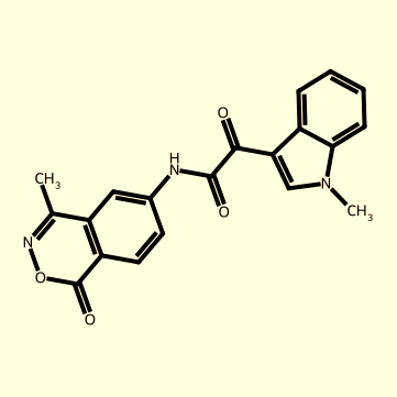 Cc1noc(=O)c2ccc(NC(=O)C(=O)c3cn(C)c4ccccc34)cc12